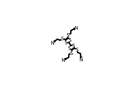 N#CCCSC1=C(SCCC#N)SC(C2SC(SCCC#N)=C(SCCC#N)S2)S1